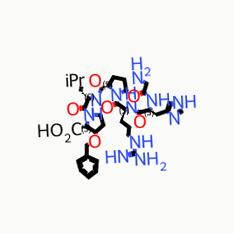 CC(C)C[C@H](NC(=O)[C@@H]1CCCN1C(=O)[C@H](CCCNC(=N)N)NC(=O)[C@H](Cc1c[nH]cn1)NC(=O)CN)C(=O)N1CCC(OCc2ccccc2)[C@H]1C(=O)O